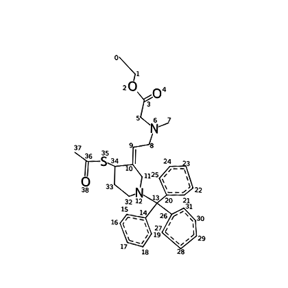 CCOC(=O)CN(C)CC=C1CN(C(c2ccccc2)(c2ccccc2)c2ccccc2)CCC1SC(C)=O